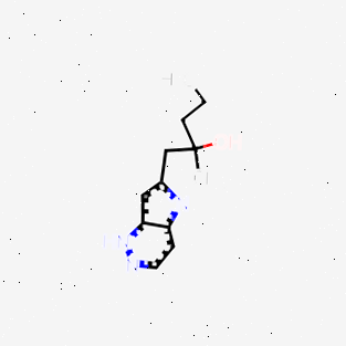 CCCC(C)(O)Cc1cc2[nH]nccc-2n1